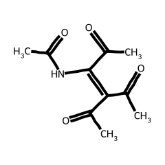 CC(=O)NC(C(C)=O)=C(C(C)=O)C(C)=O